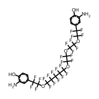 Nc1cc(C(F)(F)C(F)(F)OC(F)(F)C(F)(F)OC(F)(F)C(F)(F)OC(F)(F)C(F)(F)C(F)(F)C(F)(F)C(F)(F)OC(F)(F)C(F)(F)c2ccc(O)c(N)c2)ccc1O